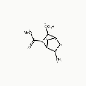 COC(=O)C1C2CC(CC2C)C1C(=O)O